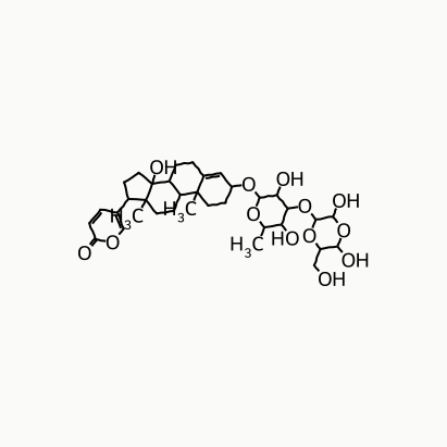 CC1OC(OC2C=C3CCC4C(CCC5(C)C(c6ccc(=O)oc6)CCC45O)C3(C)CC2)C(O)C(OC2OC(CO)C(O)OC2O)C1O